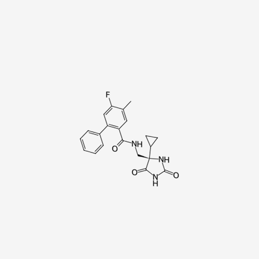 Cc1cc(C(=O)NC[C@@]2(C3CC3)NC(=O)NC2=O)c(-c2ccccc2)cc1F